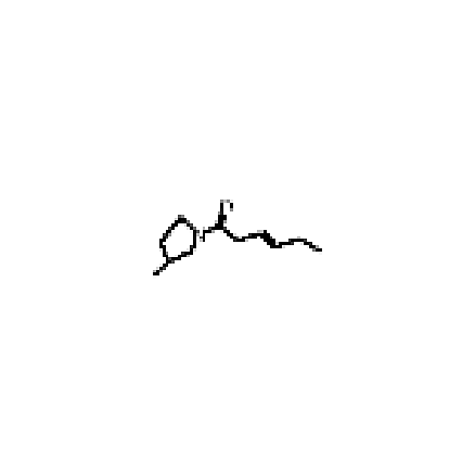 CC/C=C/CC(=O)N1CCC(C)C1